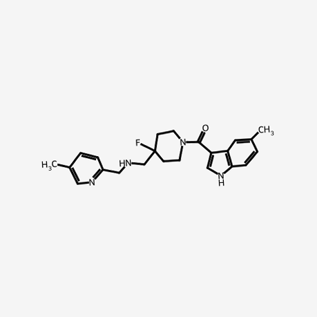 Cc1ccc(CNCC2(F)CCN(C(=O)c3c[nH]c4ccc(C)cc34)CC2)nc1